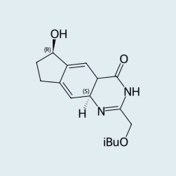 CC(C)COCC1=N[C@H]2C=C3CC[C@@H](O)C3=CC2C(=O)N1